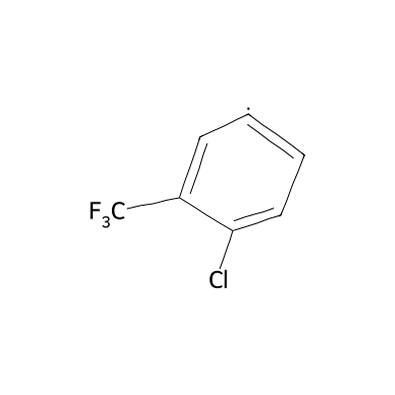 FC(F)(F)c1c[c]ccc1Cl